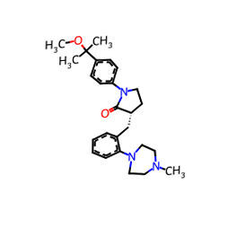 COC(C)(C)c1ccc(N2CC[C@H](Cc3ccccc3N3CCN(C)CC3)C2=O)cc1